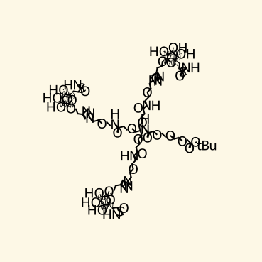 CC(C)(C)OC(=O)COCCOCCOCC(=O)NC(COCCC(=O)NCCOCCn1cc(CCO[C@H]2O[C@H](CCS(C)(=N)=O)[C@@H](O)[C@H](O)[C@@H]2O)nn1)(COCCC(=O)NCCOCCn1cc(CCO[C@H]2O[C@H](CCS(C)(=N)=O)[C@@H](O)[C@H](O)[C@@H]2O)nn1)COCCC(=O)NCCOCCn1cc(CCO[C@H]2O[C@H](CCS(C)(=N)=O)[C@@H](O)[C@H](O)[C@@H]2O)nn1